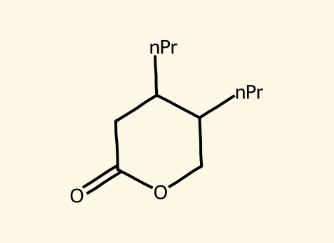 CCCC1COC(=O)CC1CCC